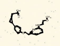 COCCNc1cccc(CCOc2ccc(C3CC3CC(=O)O)cc2)n1